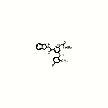 COc1cc(F)ccc1Nc1cc(NC(=O)OC(C)(C)C)nc(C(=O)NC2Cc3ccccc3C2)c1